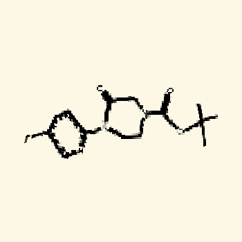 CC(C)(C)OC(=O)N1CCN(c2ccc(F)cn2)C(=O)C1